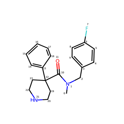 CN(Cc1ccc(F)cc1)C(=O)C1(c2ccccc2)CCNCC1